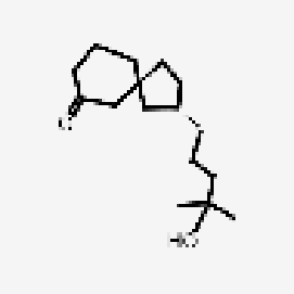 CC(C)(O)CCC[C@H]1CC[C@@]2(CCCC(=O)C2)C1